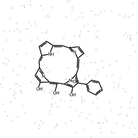 OC1=Cc2cc3ccc(cc4nc(cc5c(-c6ccccc6)c(O)c(c(O)c1n2)n5O)C=C4)[nH]3